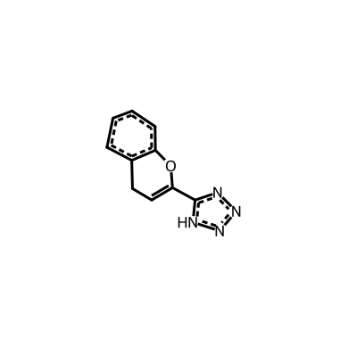 C1=C(c2nnn[nH]2)Oc2ccccc2C1